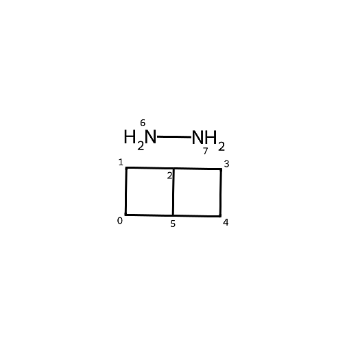 C1CC2CCC12.NN